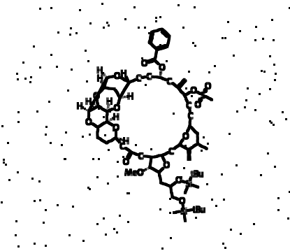 C=C1C[C@@H](OC(=O)c2ccccc2)CC[C@H]2O[C@@H]3[C@@H]4OC5CC[C@H](CC(=O)CC6C(CC7OC(CCC1OS(C)(=O)=O)CC(C)C7=C)OC(CC(CO[Si](C)(C)C(C)(C)C)O[Si](C)(C)C(C)(C)C)[C@@H]6OC)O[C@@H]5[C@@H]1O[C@H]2C[C@H]3O[C@H]41